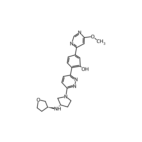 COc1cc(-c2ccc(-c3ccc(N4CC[C@H](N[C@H]5CCOC5)C4)nn3)c(O)c2)ncn1